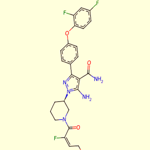 NC(=O)c1c(-c2ccc(Oc3ccc(F)cc3F)cc2)nn([C@@H]2CCCN(C(=O)/C(F)=C\CO)C2)c1N